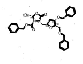 CC(C)(C)[C@@H]1OC(=O)[C@H](C[C@H]2C[C@H](OCc3ccccc3)[C@@H](COCc3ccccc3)O2)N1C(=O)OCc1ccccc1